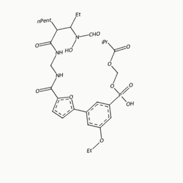 CCCCCC(C(=O)NCNC(=O)c1ccc(-c2cc(OCC)cc(P(=O)(O)OCOC(=O)C(C)C)c2)o1)C(CC)N(O)C=O